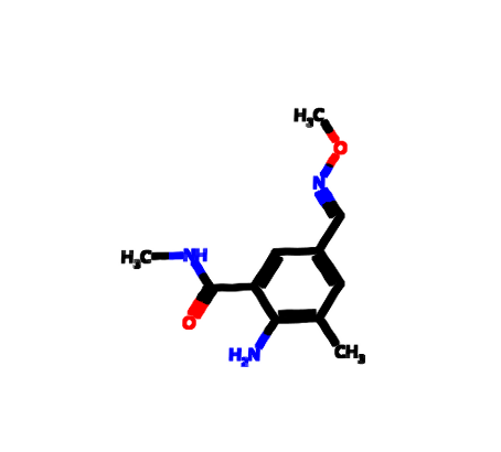 CNC(=O)c1cc(/C=N/OC)cc(C)c1N